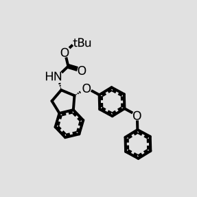 CC(C)(C)OC(=O)N[C@H]1Cc2ccccc2[C@H]1Oc1ccc(Oc2ccccc2)cc1